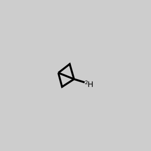 [2H]C12CC1C2